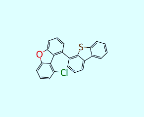 Clc1cccc2oc3cccc(-c4cccc5c4sc4ccccc45)c3c12